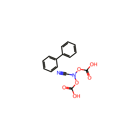 N#CN(OC(=O)O)OC(=O)O.c1ccc(-c2ccccc2)cc1